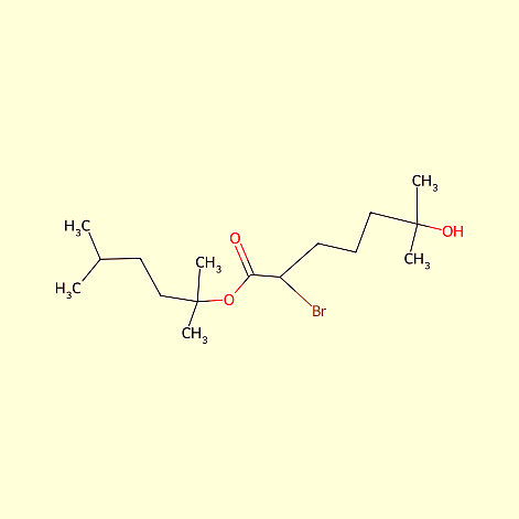 CC(C)CCC(C)(C)OC(=O)C(Br)CCCC(C)(C)O